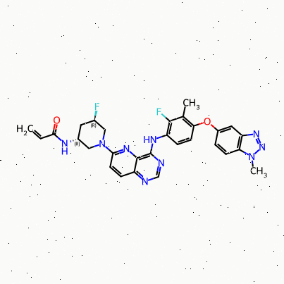 C=CC(=O)N[C@@H]1C[C@@H](F)CN(c2ccc3ncnc(Nc4ccc(Oc5ccc6c(c5)nnn6C)c(C)c4F)c3n2)C1